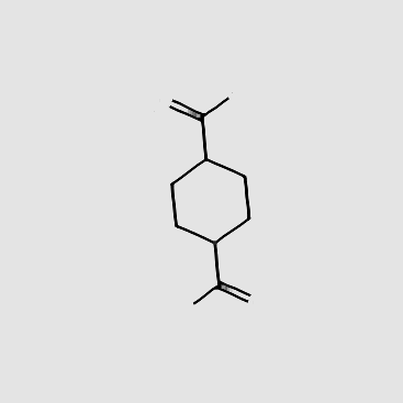 C=C(C)C1CCC(C(=O)O)CC1